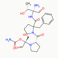 C[C@@H](O)[C@@](N)(C=O)NC(=O)C1(Cc2ccccc2)CCCN1C(=O)[C@@H]1CCCN1[C@@](C=O)(CO)OC(N)=O